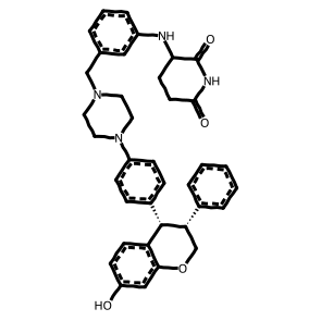 O=C1CCC(Nc2cccc(CN3CCN(c4ccc([C@H]5c6ccc(O)cc6OC[C@H]5c5ccccc5)cc4)CC3)c2)C(=O)N1